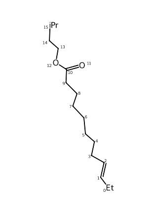 CC/C=C/CCCCCCCC(=O)OCCC(C)C